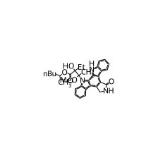 CCCCC(C)OC(=O)C(O)(CC)C(C)(OC)n1c2ccccc2c2c3c(c4c5ccccc5[nH]c4c21)C(=O)NC3